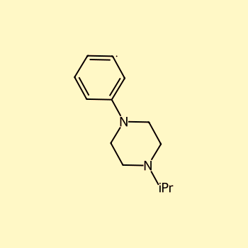 CC(C)N1CCN(c2c[c]ccc2)CC1